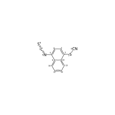 N#CSc1ccc(N=C=S)c2ccccc12